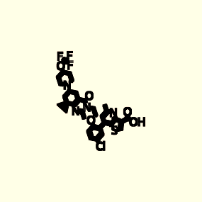 Cc1cc(-c2cc(Cl)ccc2OCCn2c(C)nc3c(c2=O)C[C@H](N2CCC(OC(F)(F)F)CC2)CC32CC2)c2scc(C(=O)O)c2n1